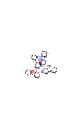 CC1(C)c2cc(N(c3ccc(-c4ccccc4-n4c5ccccc5c5ccccc54)cc3)c3cccc4c5c(oc34)CCC=C5)ccc2C2C=CC=CC21